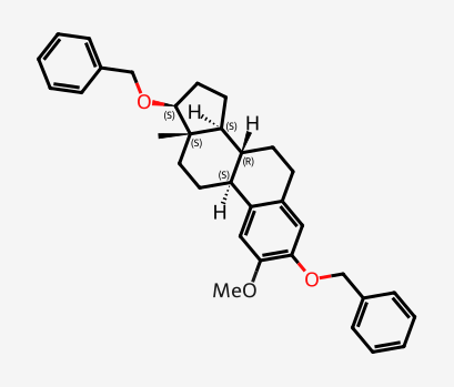 COc1cc2c(cc1OCc1ccccc1)CC[C@@H]1[C@@H]2CC[C@]2(C)[C@@H](OCc3ccccc3)CC[C@@H]12